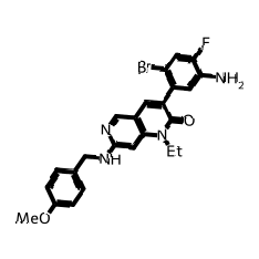 CCn1c(=O)c(-c2cc(N)c(F)cc2Br)cc2cnc(NCc3ccc(OC)cc3)cc21